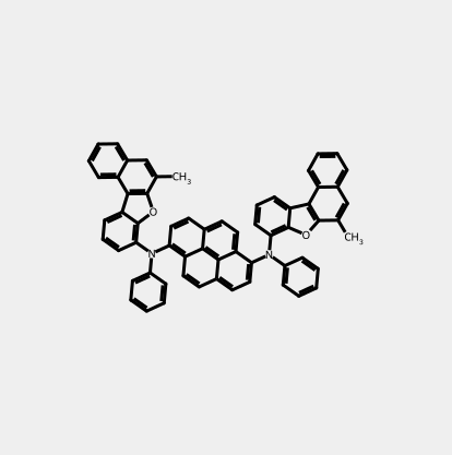 Cc1cc2ccccc2c2c1oc1c(N(c3ccccc3)c3ccc4ccc5c(N(c6ccccc6)c6cccc7c6oc6c(C)cc8ccccc8c67)ccc6ccc3c4c65)cccc12